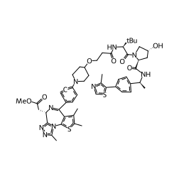 COC(=O)C[C@@H]1N=C(c2ccc(N3CCC(OCCC(=O)N[C@H](C(=O)N4C[C@H](O)C[C@H]4C(=O)N[C@@H](C)c4ccc(-c5scnc5C)cc4)C(C)(C)C)CC3)cc2)c2c(sc(C)c2C)-n2c(C)nnc21